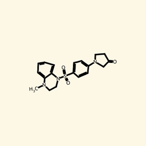 CN1CCN(S(=O)(=O)c2ccc(N3CCC(=O)C3)cc2)c2ccccc21